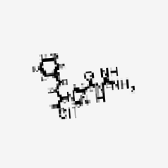 N=C(N)NC(=O)c1cn(C(CO)CCc2ccccc2)cn1